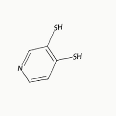 Sc1ccncc1S